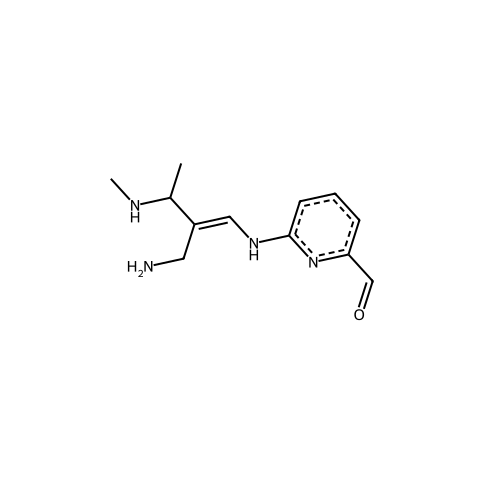 CNC(C)/C(=C/Nc1cccc(C=O)n1)CN